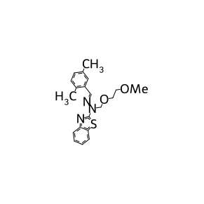 COCCOCN(/N=C/c1cc(C)ccc1C)c1nc2ccccc2s1